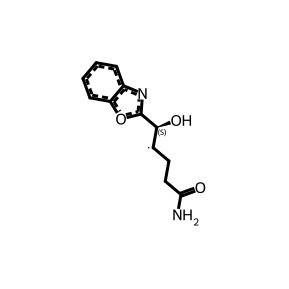 NC(=O)CC[CH][C@H](O)c1nc2ccccc2o1